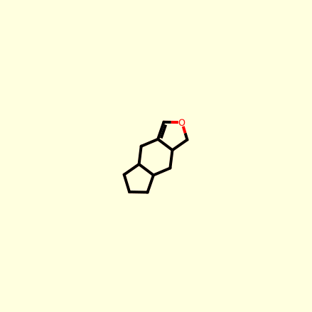 C1=C2CC3CCCC3CC2CO1